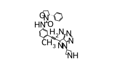 Cc1ccc(NC(=O)N2OCC[C@@H]2c2ccccc2)cc1C#Cc1nn(C2CNC2)c2ncnc(N)c12